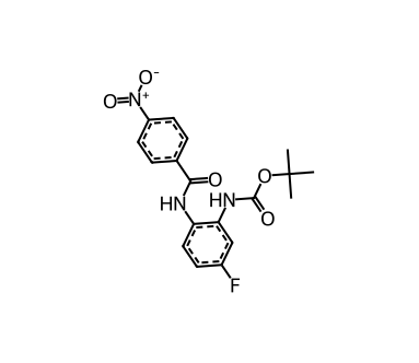 CC(C)(C)OC(=O)Nc1cc(F)ccc1NC(=O)c1ccc([N+](=O)[O-])cc1